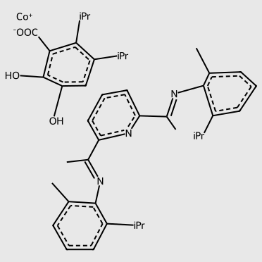 CC(=Nc1c(C)cccc1C(C)C)c1cccc(C(C)=Nc2c(C)cccc2C(C)C)n1.CC(C)c1cc(O)c(O)c(C(=O)[O-])c1C(C)C.[Co+]